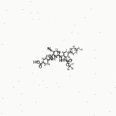 CCN1CCN(c2ccc(Nc3ncc(C#N)c(NNc4ccc(C(=O)O)cc4)n3)c(NC(=O)OC(C)(C)C)c2)CC1